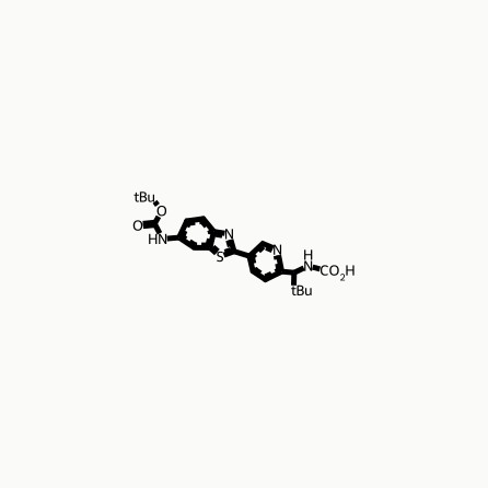 CC(C)(C)OC(=O)Nc1ccc2nc(-c3ccc(C(NC(=O)O)C(C)(C)C)nc3)sc2c1